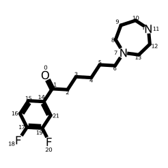 O=C(CCCCCN1CCC[N]CC1)c1ccc(F)c(F)c1